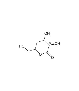 O=C1OC(CO)CC(O)[C@H]1O